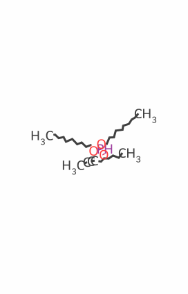 CCCCCCCCCC.CCCCCCCCCCO[PH](=O)OCCCCCCCCCC